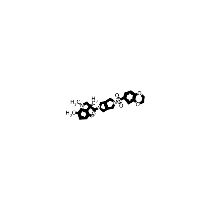 CNCC(C)(C(=O)N1CC2=C(C1)CN(S(=O)(=O)c1ccc3c(c1)OCCO3)C2)c1cc(C)ccc1F